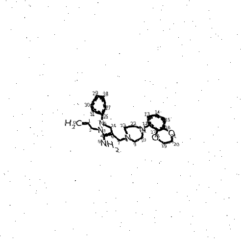 C=CCN1C(N)=C(CN2CCN(c3cccc4c3OCCO4)CC2)CN1c1ccccc1